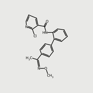 CO/N=C(/C)c1ccc(-c2ccccc2NC(=O)c2cccnc2Cl)cc1